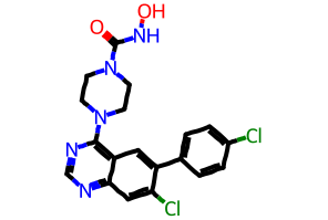 O=C(NO)N1CCN(c2ncnc3cc(Cl)c(-c4ccc(Cl)cc4)cc23)CC1